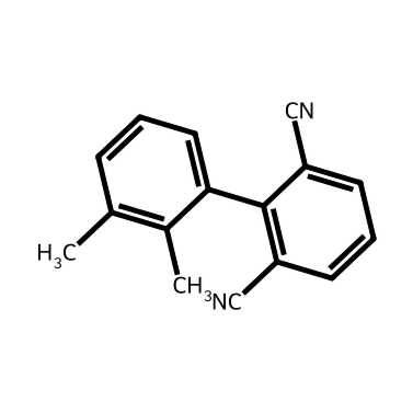 Cc1cccc(-c2c(C#N)cccc2C#N)c1C